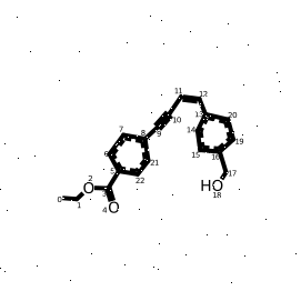 CCOC(=O)c1ccc(C#C/C=C\c2ccc(CO)cc2)cc1